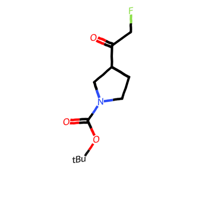 CC(C)(C)OC(=O)N1CCC(C(=O)CF)C1